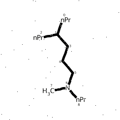 CCCC(CCC)CCCN(C)CCC